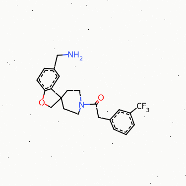 NCc1ccc2c(c1)C1(CCN(C(=O)Cc3cccc(C(F)(F)F)c3)CC1)CO2